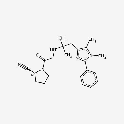 Cc1c(CC(C)(C)NCC(=O)N2CCC[C@H]2C#N)nc(-c2ccccc2)n1C